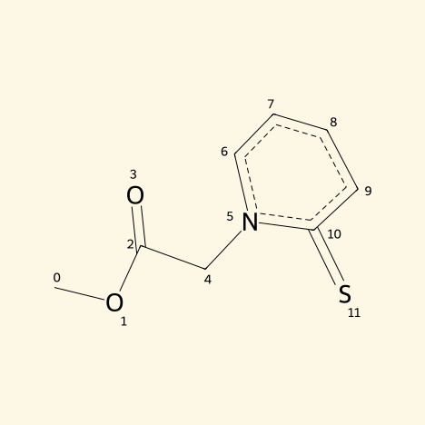 COC(=O)Cn1ccccc1=S